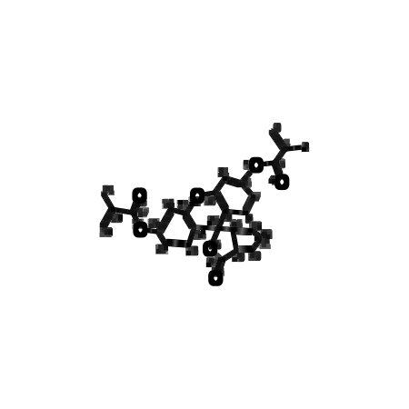 C=C(C)C(=O)Oc1ccc2c(c1)Oc1cc(OC(=O)C(=C)C)ccc1C21OC(=O)c2ccccc21